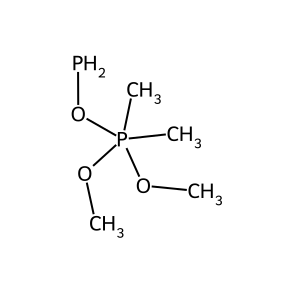 COP(C)(C)(OC)OP